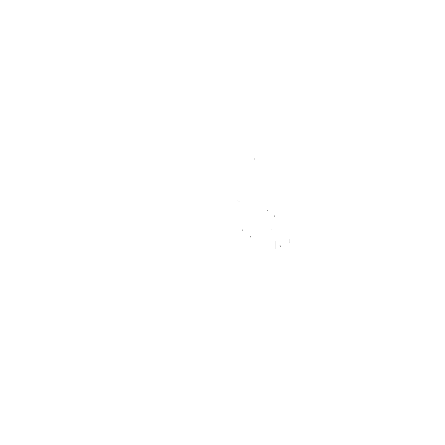 CCc1cccc(NC(=N)N(C)c2cccc([S+](C)[O-])c2)c1